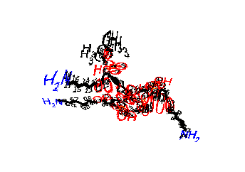 CC(COP(=O)(O)O[C@@H]1C[C@H](OCCCCCCN)OC1COP(=O)(O)OCCOP(=O)(O)OC1C[C@H](OCCCCCCN)O[C@@H]1COP(=O)(O)OCCOP(=O)(O)OC1C[C@H](OCCCCCCN)O[C@@H]1CO)OC(C)(C)C